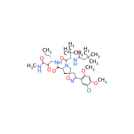 CCC[C@H](NC(=O)[C@@H]1C[C@]2(CC(c3cc(Cl)c(OC)cc3OC)=NO2)CN1C(=O)[C@@H](NC(=O)CC(C)(C)C)C(C)(C)C)C(=O)C(=O)NC